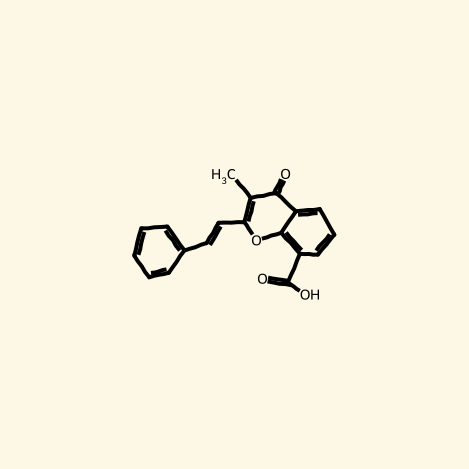 Cc1c(/C=C/c2ccccc2)oc2c(C(=O)O)cccc2c1=O